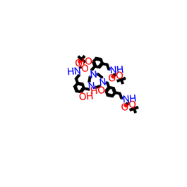 CC(C)(C)OC(=O)NCCc1ccc(O)c(CN2CCN(Cc3cc(CCNC(=O)OC(C)(C)C)ccc3O)CCN(Cc3cc(CCNC(=O)OC(C)(C)C)ccc3O)CC2)c1